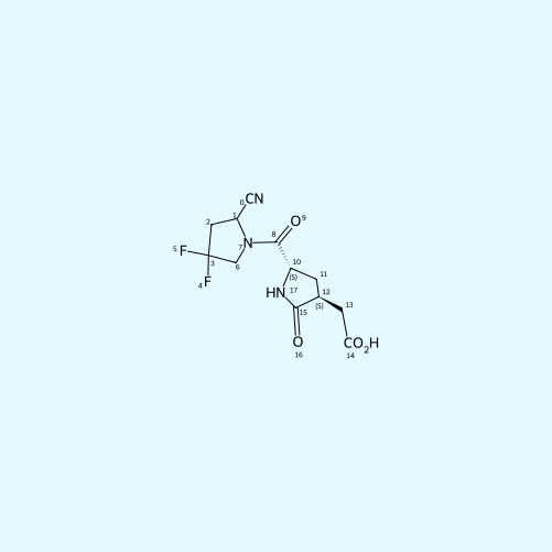 N#CC1CC(F)(F)CN1C(=O)[C@@H]1C[C@@H](CC(=O)O)C(=O)N1